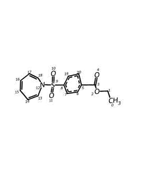 CCOC(=O)c1ccc(S(=O)(=O)N2C=CC=CC=C2)cc1